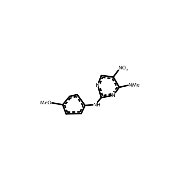 CNc1nc(Nc2ccc(OC)cc2)ncc1[N+](=O)[O-]